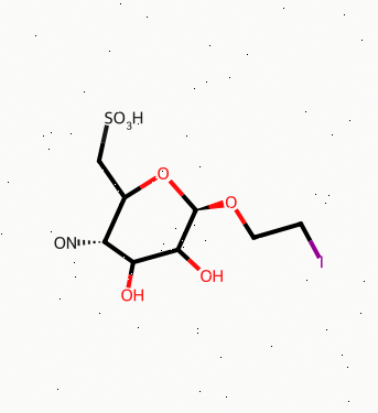 O=N[C@@H]1C(CS(=O)(=O)O)O[C@@H](OCCI)C(O)C1O